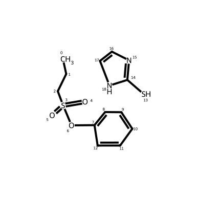 CCCS(=O)(=O)Oc1ccccc1.Sc1ncc[nH]1